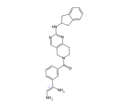 N/C=C(\N)c1cccc(C(=O)N2CCc3nc(NC4Cc5ccccc5C4)ncc3C2)c1